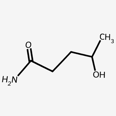 CC(O)CCC(N)=O